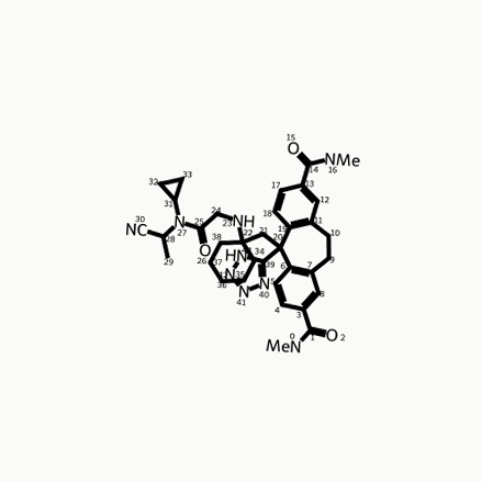 CNC(=O)c1ccc2c(c1)CCc1cc(C(=O)NC)ccc1C2(CC1(NCC(=O)N(C(C)C#N)C2CC2)CCCCC1)c1nnn[nH]1